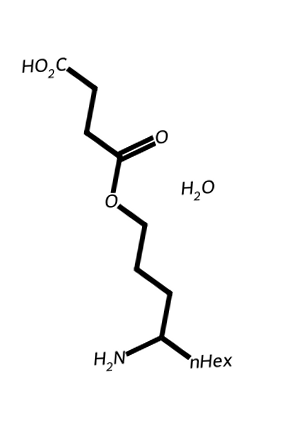 CCCCCCC(N)CCCOC(=O)CCC(=O)O.O